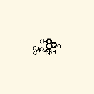 COC(=O)C(C)(C)OCc1n[nH]c(-c2cccc(OC)c2)c1Cc1ccccc1Cl